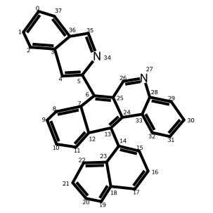 c1ccc2cc(-c3c4ccccc4c(-c4cccc5ccccc45)c4c3cnc3ccccc34)ncc2c1